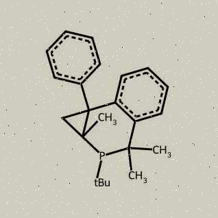 CC(C)(C)P1C(C)(C)c2ccccc2C2(c3ccccc3)CC12C